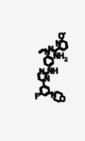 C=CN(/N=C(\N)c1cccc(OC)n1)c1ccc(Nc2nccc(-c3cc(F)cc(N4CCOCC4)c3)n2)cc1